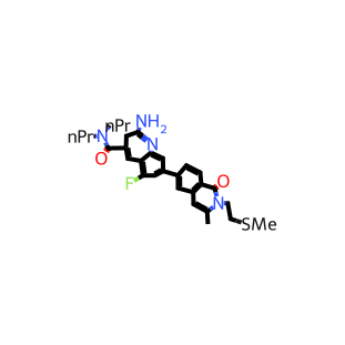 CCCN(CCC)C(=O)C1=Cc2c(F)cc(-c3ccc4c(=O)n(CCSC)c(C)cc4c3)cc2N=C(N)C1